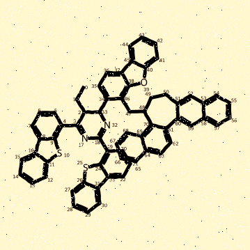 CCC1C(c2cccc3c2sc2ccccc23)=NC(c2cccc3c2sc2ccccc23)=NC1c1ccc2c(oc3ccccc32)c1CC1CCc2cc3ccccc3cc2-c2ccc3ccccc3c21